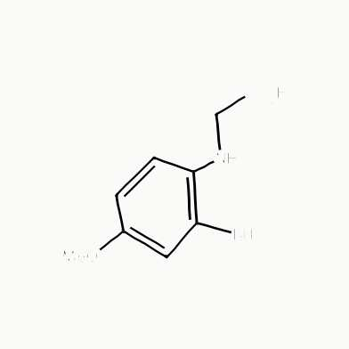 Bc1cc(OC)ccc1NCC(=O)O